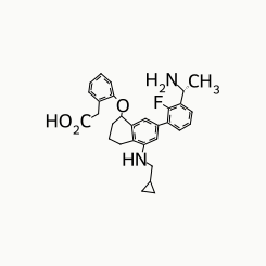 C[C@@H](N)c1cccc(-c2cc(NCC3CC3)c3c(c2)C(Oc2ccccc2CC(=O)O)CCC3)c1F